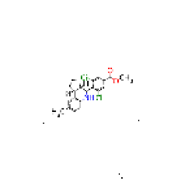 COC(=O)c1cc(Cl)c([C@H]2Nc3ccc(C)cc3[C@@H]3CCC[C@H]23)c(Cl)c1